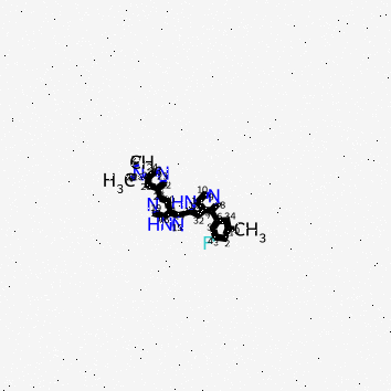 Cc1cc(F)cc(-c2cncc3[nH]c(-c4n[nH]c5cnc(-c6cncc(N(C)C)c6)cc45)cc23)c1